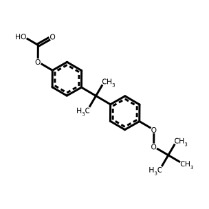 CC(C)(C)OOc1ccc(C(C)(C)c2ccc(OC(=O)O)cc2)cc1